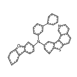 c1ccc(-c2cccc(N(c3ccc4c(c3)oc3ccccc34)c3ccc4sc5ccc6ccncc6c5c4c3)c2)cc1